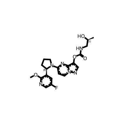 COc1ncc(F)cc1[C@H]1CCCN1c1ccn2ncc(OC(=O)NC[C@H](C)O)c2n1